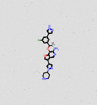 CC(Oc1c(N)ncc2c(-c3cnn(C4CCNCC4)c3)coc12)c1cc(F)cc(-c2cn[nH]c2)c1